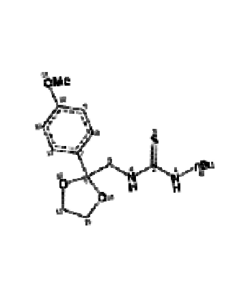 CCCCNC(=S)NCC1(c2ccc(OC)cc2)OCCO1